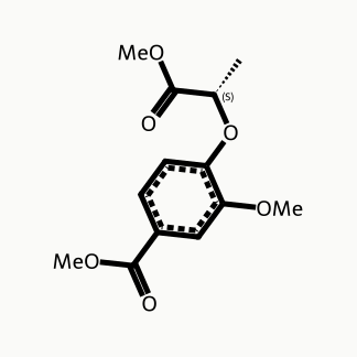 COC(=O)c1ccc(O[C@@H](C)C(=O)OC)c(OC)c1